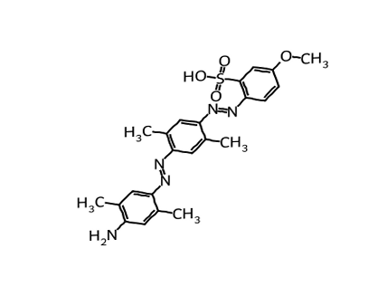 COc1ccc(N=Nc2cc(C)c(N=Nc3cc(C)c(N)cc3C)cc2C)c(S(=O)(=O)O)c1